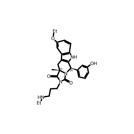 CCNCCCN1C(=O)N2[C@H](c3cccc(O)c3)c3[nH]c4ccc(OCC)cc4c3C[C@@]2(C)C1=O